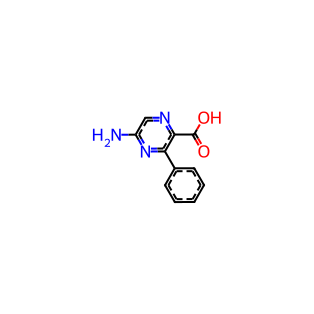 Nc1cnc(C(=O)O)c(-c2ccccc2)n1